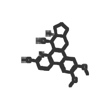 COc1cc2c3c(c4nc(O)ccc4c2cc1OC)[C@@H](O)[C@H]1CCCC1C3